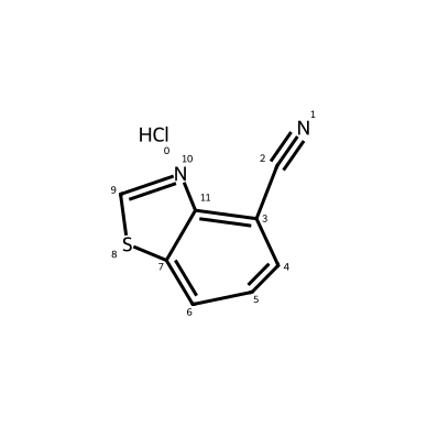 Cl.N#Cc1cccc2scnc12